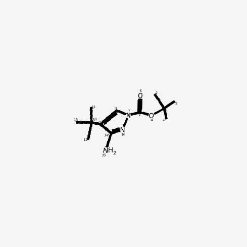 CC(C)(C)OC(=O)n1cc(C(C)(C)C)c(N)n1